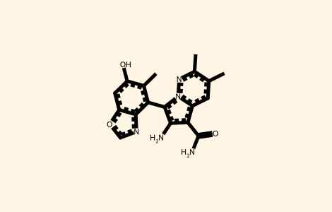 Cc1cc2c(C(N)=O)c(N)c(-c3c(C)c(O)cc4ocnc34)n2nc1C